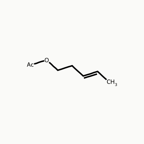 CC=CCCOC(C)=O